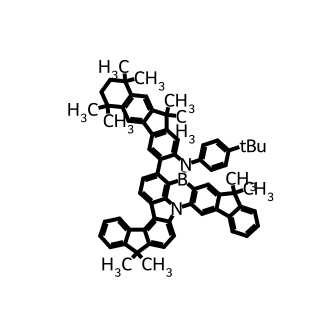 CC(C)(C)c1ccc(N2B3c4cc5c(cc4-n4c6ccc7c(c6c6ccc(c3c64)-c3cc4c(cc32)C(C)(C)c2cc3c(cc2-4)C(C)(C)CCC3(C)C)-c2ccccc2C7(C)C)-c2ccccc2C5(C)C)cc1